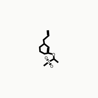 C=CCC1C=C(OC(C)S(C)(=O)=O)CCC1